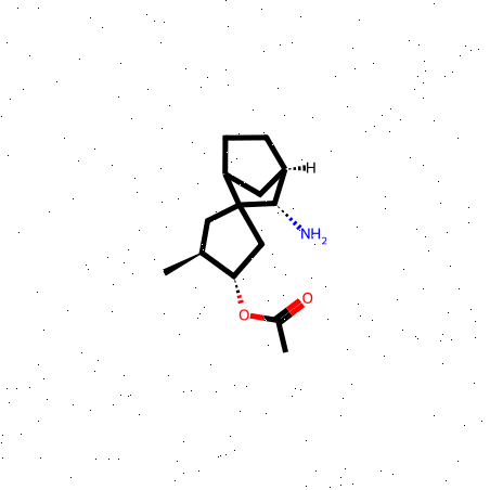 CC(=O)O[C@H]1CC2(C[C@@H]1C)C1CC[C@H](C1)[C@@H]2N